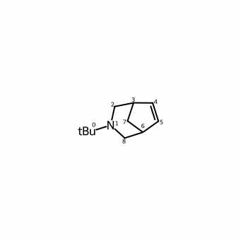 CC(C)(C)N1CC2C=CC(C2)C1